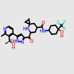 Cc1nccc(-c2cc(C(=O)C3CC(C(=O)NC4CCC(O)(C(F)(F)F)CC4)CC4(CC4)N3)n[nH]2)c1[C@H](C)O